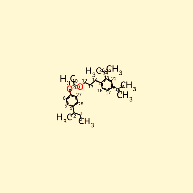 CCC(C)c1ccc(OC(C)OCCCc2ccc(C(C)C)cc2C(C)C)cc1